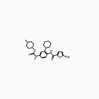 CN1CCN(OC(=O)N(C)c2ccc(NC(=O)c3ccc(C#N)o3)c(N3CCCCC3)c2)CC1